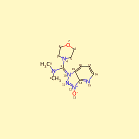 CN(C)/C(N1CCOCC1)=[N+]1\N=[N+]([O-])c2ncccc21